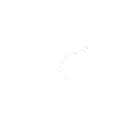 C=CC(=O)OCCNC(=O)OCC(C)(C)c1c(C)cc([I+]c2cc(C)c(C(C)(C)COC(=O)NCCOC(=O)C=C)c(C)c2)cc1C